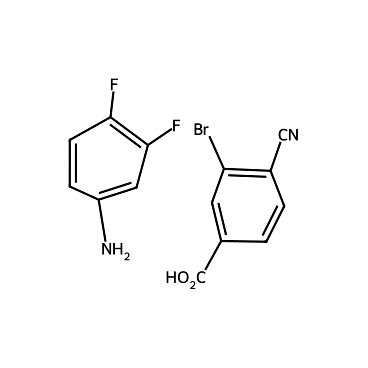 N#Cc1ccc(C(=O)O)cc1Br.Nc1ccc(F)c(F)c1